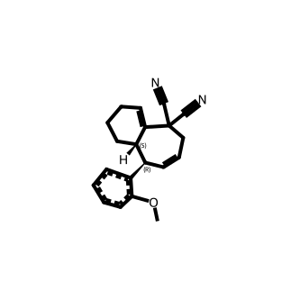 COc1ccccc1[C@@H]1C=CCC(C#N)(C#N)C2=CCCC[C@H]21